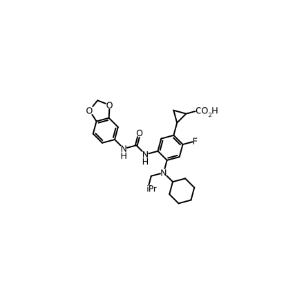 CC(C)CN(c1cc(F)c(C2CC2C(=O)O)cc1NC(=O)Nc1ccc2c(c1)OCO2)C1CCCCC1